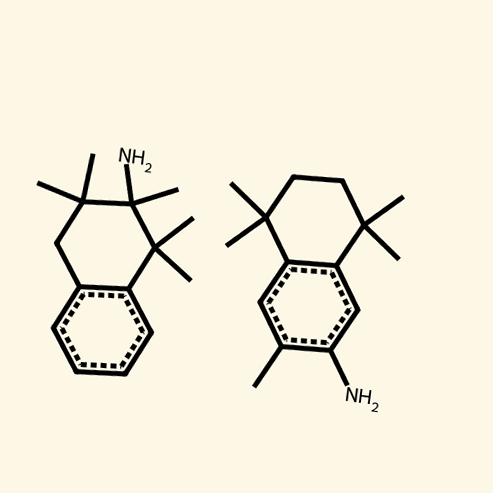 CC1(C)Cc2ccccc2C(C)(C)C1(C)N.Cc1cc2c(cc1N)C(C)(C)CCC2(C)C